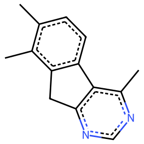 Cc1ccc2c(c1C)Cc1ncnc(C)c1-2